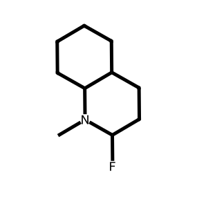 CN1C(F)CCC2CCCCC21